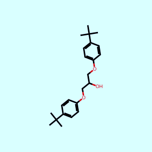 CC(C)(C)c1ccc(OCC(O)COc2ccc(C(C)(C)C)cc2)cc1